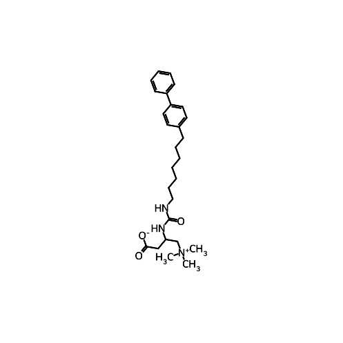 C[N+](C)(C)CC(CC(=O)[O-])NC(=O)NCCCCCCCc1ccc(-c2ccccc2)cc1